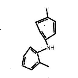 [CH2]c1ccc(Nc2ccccc2C)cc1